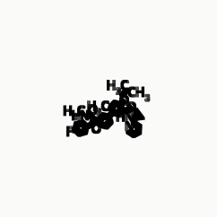 CNC(=O)c1c(-c2ccc(F)cc2)oc2ccc(-c3cc(C(=O)NC4(c5ccccn5)CC4)c(OCC(C)C)cc3C)cc12